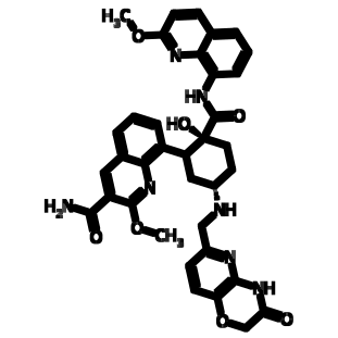 COc1ccc2cccc(NC(=O)[C@]3(O)CC[C@H](NCc4ccc5c(n4)NC(=O)CO5)CC3c3cccc4cc(C(N)=O)c(OC)nc34)c2n1